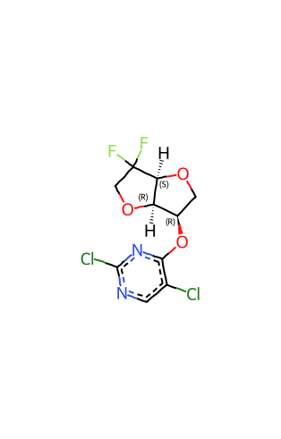 FC1(F)CO[C@@H]2[C@H](Oc3nc(Cl)ncc3Cl)CO[C@@H]21